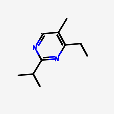 CCc1nc(C(C)C)n[c]c1C